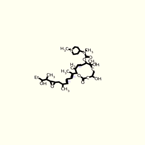 CCC(O)C(C)C1OC1CC(C)/C=C/C=C(\C)C1OC(=O)CC(O)CCC(C)(O)C(OC(=O)N(C)C2CCN(C)CC2)/C=C/C1C